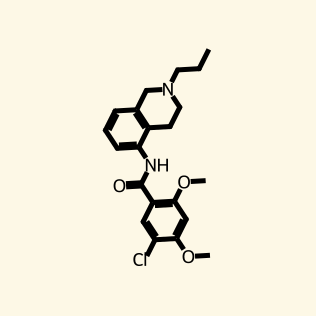 CCCN1CCc2c(cccc2NC(=O)c2cc(Cl)c(OC)cc2OC)C1